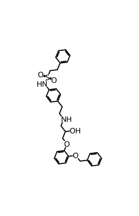 O=S(=O)(CCc1ccccc1)Nc1ccc(CCNCC(O)COc2ccccc2OCc2ccccc2)cc1